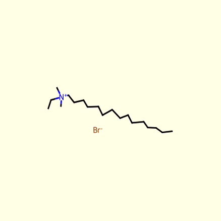 CCCCCCCCCCCCCCC[N+](C)(C)CC.[Br-]